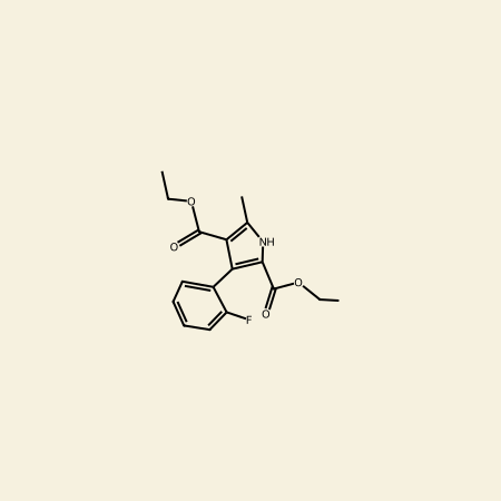 CCOC(=O)c1[nH]c(C)c(C(=O)OCC)c1-c1ccccc1F